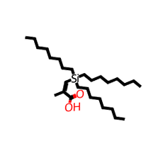 CCCCCCCC[Si](C=C(C)C(=O)O)(CCCCCCCC)CCCCCCCC